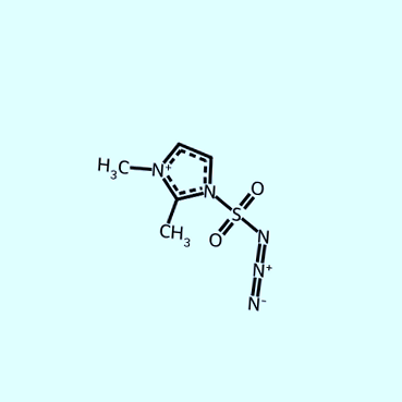 Cc1n(S(=O)(=O)N=[N+]=[N-])cc[n+]1C